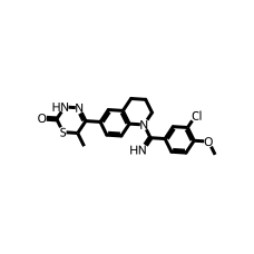 COc1ccc(C(=N)N2CCCc3cc(C4=NNC(=O)SC4C)ccc32)cc1Cl